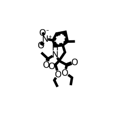 CCOC(=O)C(Cc1cc([N+](=O)[O-])ccc1C)(NC(C)=O)C(=O)OCC